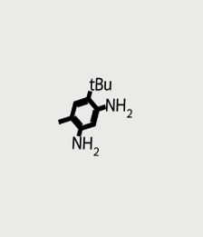 Cc1cc(C(C)(C)C)c(N)cc1N